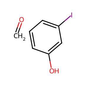 C=O.Oc1cccc(I)c1